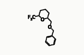 FC(F)(F)C1CCCC(COCc2ccccc2)O1